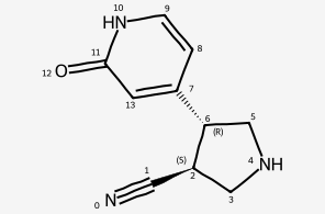 N#C[C@@H]1CNC[C@H]1c1cc[nH]c(=O)c1